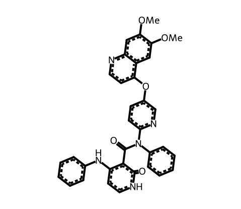 COc1cc2nccc(Oc3ccc(N(C(=O)c4c(Nc5ccccc5)cc[nH]c4=O)c4ccccc4)nc3)c2cc1OC